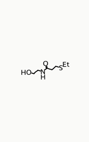 CCSCCC(=O)NCCO